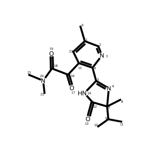 Cc1cnc(C2=NC(C)(C(C)C)C(=O)N2)c(C(=O)C(=O)N(C)C)c1